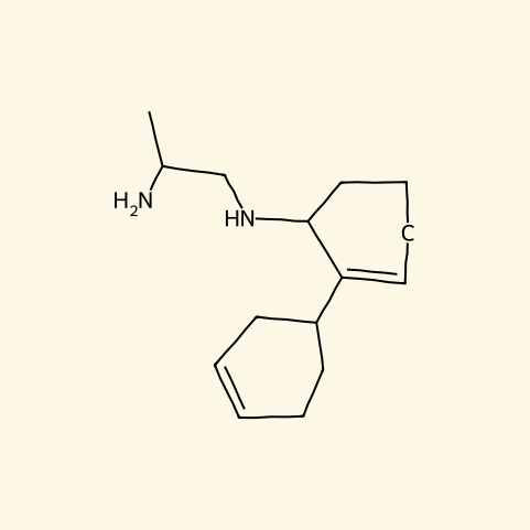 CC(N)CNC1CCCC=C1C1CC=CCC1